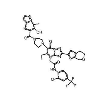 CCc1c(N2CCN(C(=O)c3nc4ccnn4c(C)c3O)CC2)c(=O)n2nc(-c3cc4c(s3)COCC4)nc2n1CC(=O)Nc1ccc(C(F)(F)F)cc1Cl